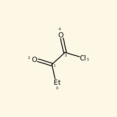 CCC(=O)C(=O)Cl